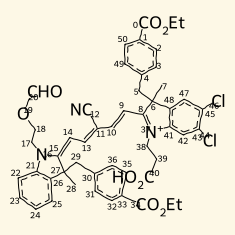 CCOC(=O)c1ccc(CC2(C)C(/C=C/C(C#N)=C/C=C3/N(CCOC=O)c4ccccc4C3(C)Cc3ccc(C(=O)OCC)cc3)=[N+](CCC(=O)O)c3cc(Cl)c(Cl)cc32)cc1